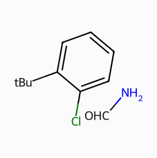 CC(C)(C)c1ccccc1Cl.NC=O